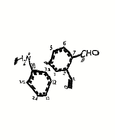 C=Cc1ccccc1C=O.Nc1ccccc1